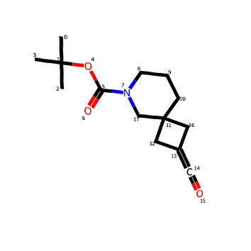 CC(C)(C)OC(=O)N1CCCC2(CC(=C=O)C2)C1